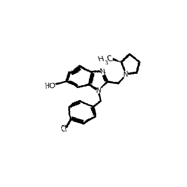 C[C@H]1CCCN1Cc1nc2ccc(O)cc2n1Cc1ccc(Cl)cc1